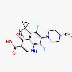 CN1CCN(c2c(F)c(C3(N)CC3)c3c(=O)c(C(=O)O)c[nH]c3c2F)CC1